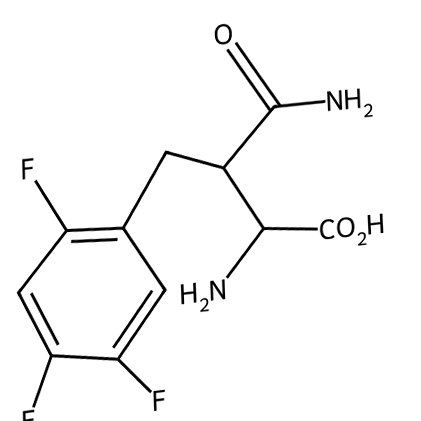 NC(=O)C(Cc1cc(F)c(F)cc1F)C(N)C(=O)O